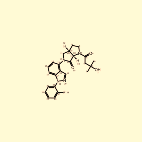 CC(C)(O)CC(=O)N1CC[C@H]2CN(c3cccc4c3cnn4-c3ccccc3F)C(=O)[C@H]21